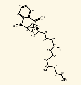 C/C(=C\CC12OC1(C)C(=O)c1ccccc1C2=O)CCC[C@H](C)CCC[C@H](C)CCCC(C)C